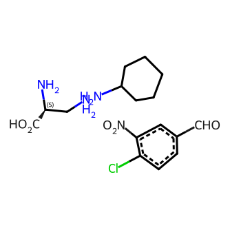 NC1CCCCC1.NC[C@H](N)C(=O)O.O=Cc1ccc(Cl)c([N+](=O)[O-])c1